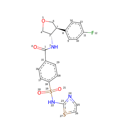 O=C(N[C@@H]1COC[C@H]1c1ccc(F)cc1)c1ccc(S(=O)(=O)Nc2nccs2)cc1